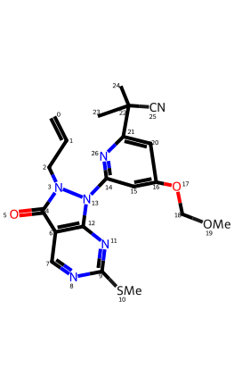 C=CCn1c(=O)c2cnc(SC)nc2n1-c1cc(OCOC)cc(C(C)(C)C#N)n1